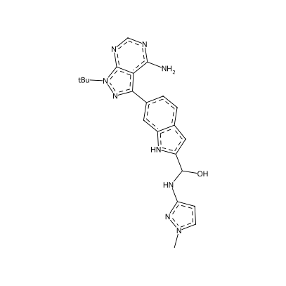 Cn1ccc(NC(O)c2cc3ccc(-c4nn(C(C)(C)C)c5ncnc(N)c45)cc3[nH]2)n1